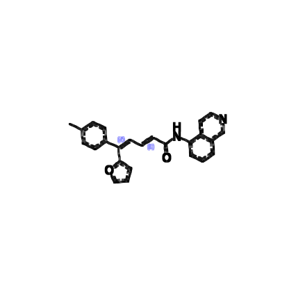 Cc1ccc(/C(=C/C=C/C(=O)Nc2cccc3cnccc23)c2ccco2)cc1